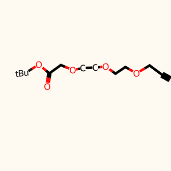 C#CCOCCOCCOCC(=O)OC(C)(C)C